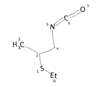 CCSC(C)CN=C=O